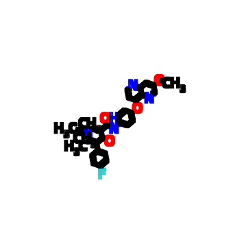 COc1cnc2c(Oc3ccc(NC(=O)c4cn(C(C)(C)C)c(C)c(-c5ccc(F)cc5)c4=O)cc3)ccnc2c1